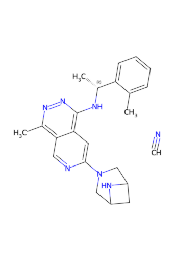 C#N.Cc1ccccc1[C@@H](C)Nc1nnc(C)c2cnc(N3CC4CC(C3)N4)cc12